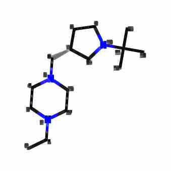 CCN1CCN(C[C@@H]2CCN(C(C)(C)C)C2)CC1